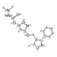 Cc1onc(-c2ccccc2)c1COc1cc(OC(=O)NN(C)C)on1